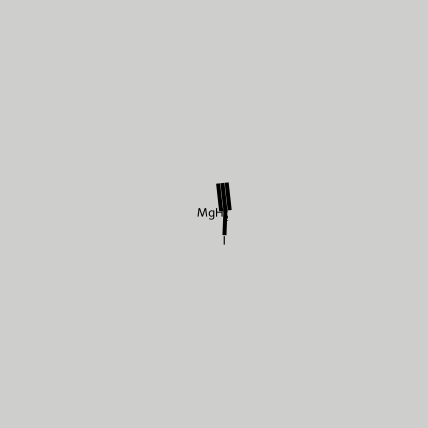 C#CI.[MgH2]